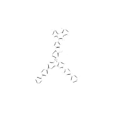 c1ccc(-c2ccc(-c3ccc4c(c3)c3cc(-c5ccc(-c6ccccc6)cc5)ccc3n4-c3ccc4c(c3)[SiH2]c3cc(-c5cc6ccccc6c6ccccc56)ccc3-4)cc2)cc1